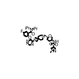 CC(C)N(C(=O)c1cc(F)ccc1Oc1nncnc1N1CC2(CCN(C[C@@H]3CC[C@@H](NS(=O)(=O)c4cnn(C)c4)CO3)CC2)C1)C(C)C